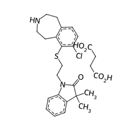 CC1(C)C(=O)N(CCSc2c(Cl)ccc3c2CCNCC3)c2ccccc21.O=C(O)CCC(=O)O